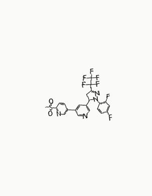 CS(=O)(=O)c1ccc(-c2cncc(C3CC(C(F)(F)C(F)(F)F)=NN3c3ccc(F)cc3F)c2)cn1